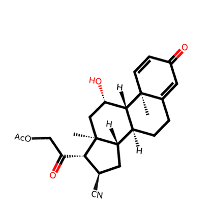 CC(=O)OCC(=O)[C@H]1[C@H](C#N)C[C@H]2[C@@H]3CCC4=CC(=O)C=C[C@]4(C)[C@H]3[C@@H](O)C[C@@]21C